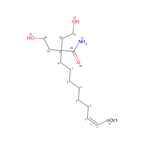 CCCCCCCC/C=C\CCCCCCC(CCO)(CCO)C(N)=O